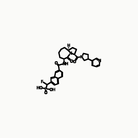 O=C(N[C@H]1CCCC[C@H]2CC[C@@H](C(=O)N3CCC(c4cccnc4)C3)N2C1=O)c1ccc2ccc(C(F)P(=O)(O)O)cc2c1